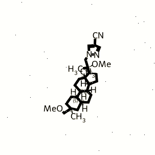 COC[C@@]1(C)CC[C@H]2[C@H](CC[C@@H]3[C@@H]2CC[C@@]2(C)[C@H]3CC[C@@H]2[C@@](C)(Cn2cc(C#N)cn2)OC)C1